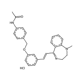 CC(=O)Nc1ccc(COc2cccc(/C=C/C3=NCCN(C)c4ccccc43)c2)cc1.Cl